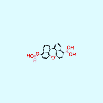 OBOc1ccc2oc3ccc(B(O)O)c4cccc(c5cccc1c25)c34